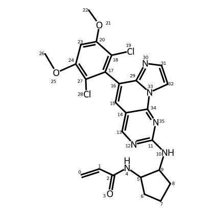 C=CC(=O)NC1CCCC1Nc1ncc2cc(-c3c(Cl)c(OC)cc(OC)c3Cl)c3nccn3c2n1